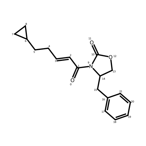 O=C(C=CCCC1CC1)N1C(=O)OCC1Cc1ccccc1